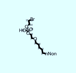 CCCCCCCCCCCCCCOCCOP(=O)(O)OCCBr